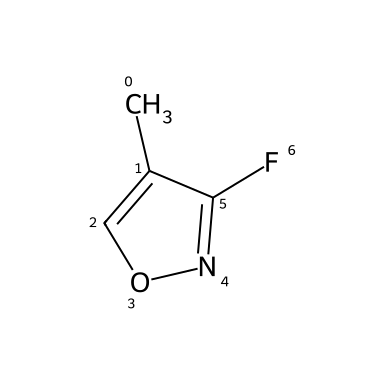 Cc1conc1F